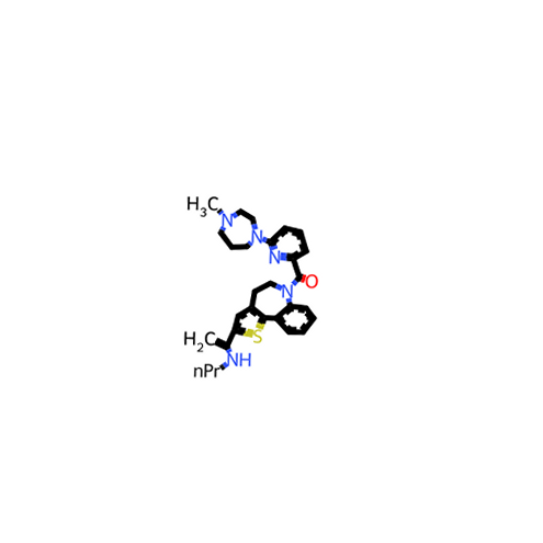 C=C(NCCC)c1cc2c(s1)-c1ccccc1N(C(=O)c1cccc(N3CCCN(C)CC3)n1)CC2